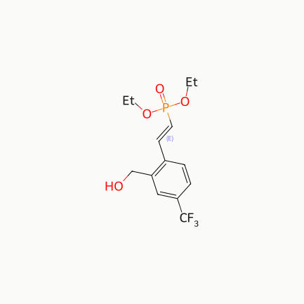 CCOP(=O)(/C=C/c1ccc(C(F)(F)F)cc1CO)OCC